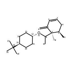 C=C1C=CC[C@@H](C)[C@@]1(C)C(C)O[C@H]1CC[C@H](C(C)(C)C)CC1